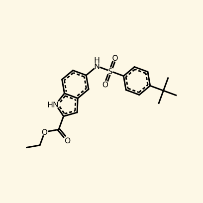 CCOC(=O)c1cc2cc(NS(=O)(=O)c3ccc(C(C)(C)C)cc3)ccc2[nH]1